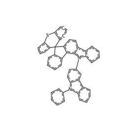 c1ccc(-n2c3ccccc3c3cc(-n4c5ccccc5c5ccc6c(c54)-c4ccccc4C64c5ccccc5Sc5ccccc54)ccc32)cc1